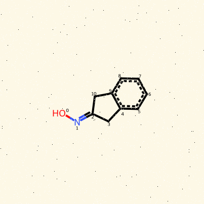 ON=C1Cc2ccccc2C1